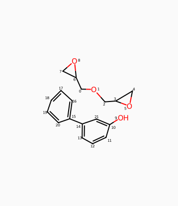 C(OCC1CO1)C1CO1.Oc1cccc(-c2ccccc2)c1